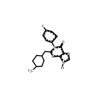 CCn1cnc2c(=O)n(-c3ccc(F)cc3)c(CC3CCC(C(F)(F)F)CC3)nc21